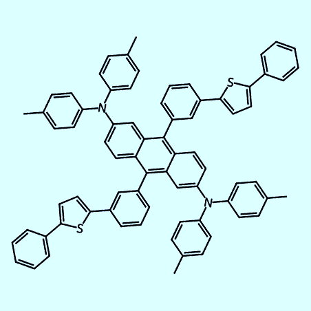 Cc1ccc(N(c2ccc(C)cc2)c2ccc3c(-c4cccc(-c5ccc(-c6ccccc6)s5)c4)c4cc(N(c5ccc(C)cc5)c5ccc(C)cc5)ccc4c(-c4cccc(-c5ccc(-c6ccccc6)s5)c4)c3c2)cc1